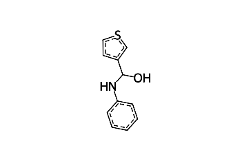 OC(Nc1ccccc1)c1ccsc1